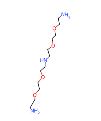 NCCOCCOCCNCCOCCOCCN